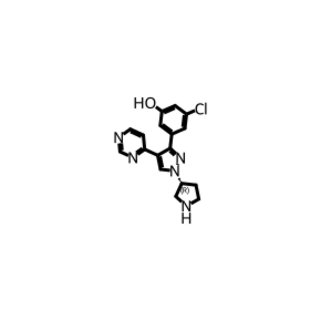 Oc1cc(Cl)cc(-c2nn([C@@H]3CCNC3)cc2-c2ccncn2)c1